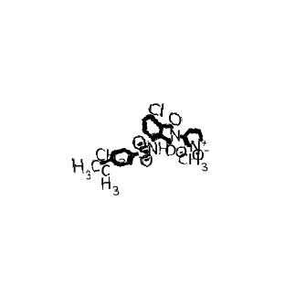 COc1c(N2C(=O)c3c(Cl)ccc(NS(=O)(=O)c4ccc(C(C)(C)C)cc4)c3C2=O)ccc[n+]1[O-]